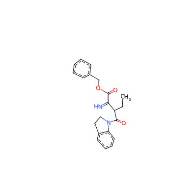 CCC(C(=N)C(=O)OCc1ccccc1)C(=O)N1CCc2ccccc21